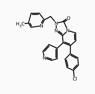 Cc1ccc(Cn2nc3c(-c4ccncc4)c(-c4ccc(Cl)cc4)ccn3c2=O)nc1